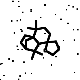 CC1(C)C2CCC3(C2)C1C1(CCCO1)CCC3(C)C